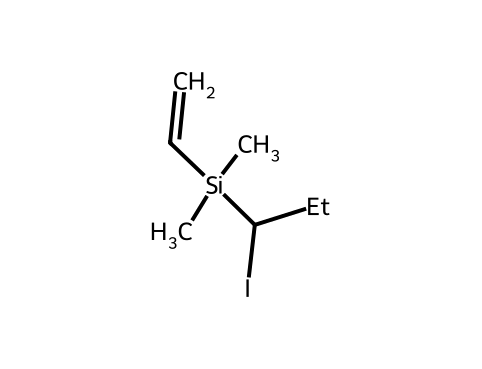 C=C[Si](C)(C)C(I)CC